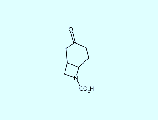 O=C1CCC2C(C1)CN2C(=O)O